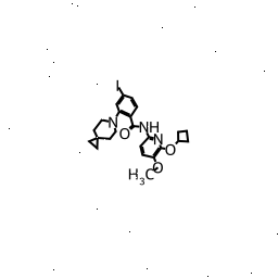 COc1ccc(NC(=O)c2ccc(I)cc2N2CCC3(CC2)CC3)nc1OC1CCC1